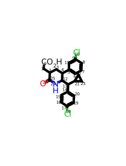 O=C(O)CC1CC(c2cccc(Cl)c2)C(C(c2ccc(Cl)cc2)C2CC2)NC1=O